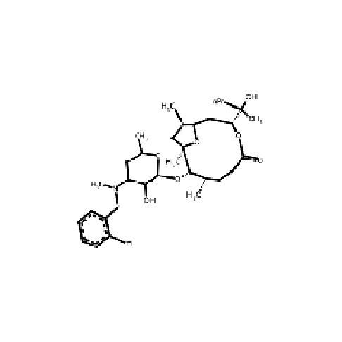 CCCC(C)(O)[C@H]1CC2O[C@](C)(CC2C)[C@@H](O[C@@H]2OC(C)CC(N(C)Cc3ccccc3Cl)C2O)[C@@H](C)CCC(=O)O1